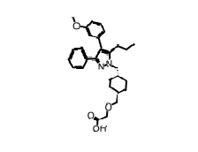 CCCc1c(-c2cccc(OC)c2)c(-c2ccccc2)nn1C[C@H]1CC[C@H](COCC(=O)O)CC1